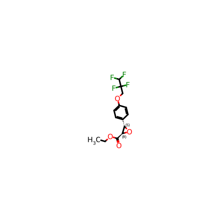 CCOC(=O)[C@@H]1O[C@H]1c1ccc(OCC(F)(F)C(F)F)cc1